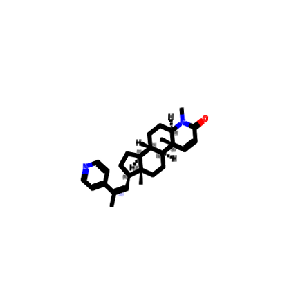 C/C(=C/[C@H]1CC[C@H]2[C@@H]3CC[C@H]4N(C)C(=O)C=C[C@]4(C)[C@H]3CC[C@]12C)c1ccncc1